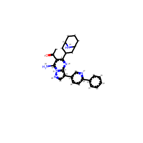 CC(=O)c1c(C2CC3CCCC(C2)N3)nc2c(-c3ccc(-c4ccccc4)nc3)cnn2c1N